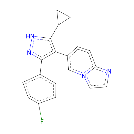 Fc1ccc(-c2n[nH]c(C3CC3)c2-c2ccc3nccn3c2)cc1